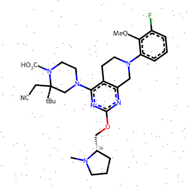 COc1c(F)cccc1N1CCc2c(nc(OC[C@@H]3CCCN3C)nc2N2CCN(C(=O)O)C(CC#N)(C(C)(C)C)C2)C1